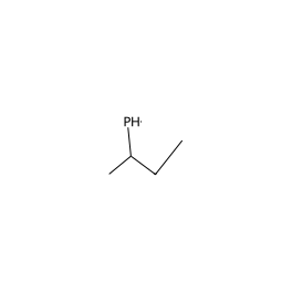 CCC(C)[PH]